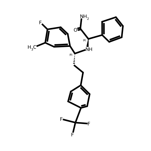 Cc1cc([C@@H](CCc2ccc(C(F)(F)F)cc2)N[C@@H](C(N)=O)c2ccccc2)ccc1F